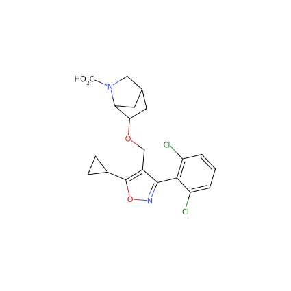 O=C(O)N1CC2CC(OCc3c(-c4c(Cl)cccc4Cl)noc3C3CC3)C1C2